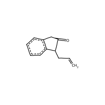 C=CCC1C(=O)Cc2ccccc21